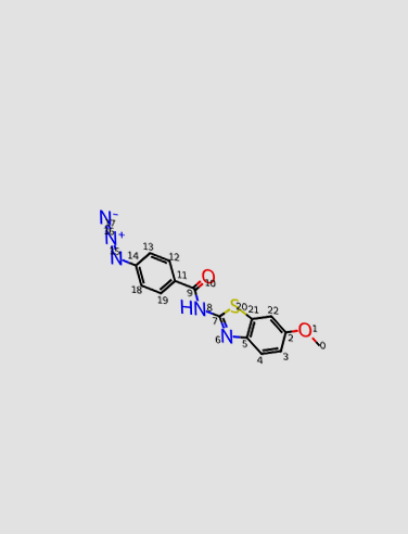 COc1ccc2nc(NC(=O)c3ccc(N=[N+]=[N-])cc3)sc2c1